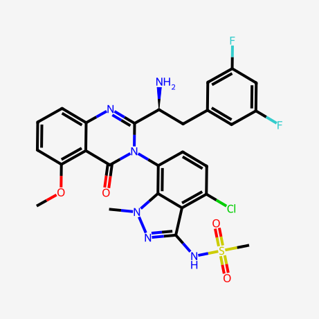 COc1cccc2nc([C@@H](N)Cc3cc(F)cc(F)c3)n(-c3ccc(Cl)c4c(NS(C)(=O)=O)nn(C)c34)c(=O)c12